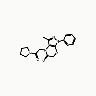 Cc1nn(-c2ccccc2)c2c1N(CC(=O)N1CCCC1)C(=O)CS2